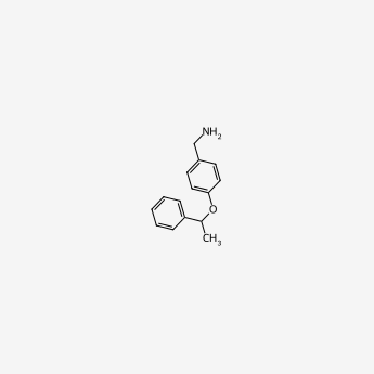 CC(Oc1ccc(CN)cc1)c1ccccc1